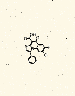 O=C(O)c1c(=O)c2cc(F)c(Cl)cc2n2c(-c3ccccc3)csc12